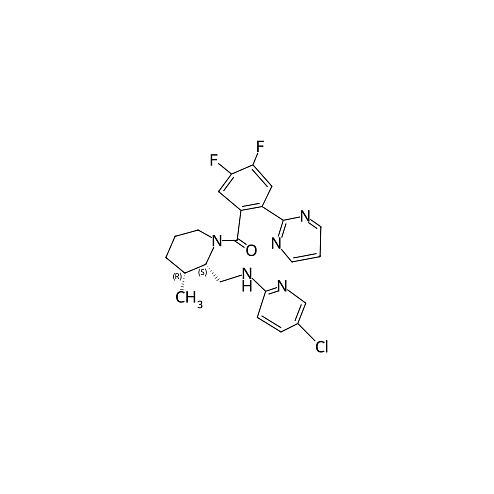 C[C@@H]1CCCN(C(=O)c2cc(F)c(F)cc2-c2ncccn2)[C@@H]1CNc1ccc(Cl)cn1